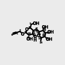 C#CCO[C@@H]1OC(CO)[C@@H](S[C@@H]2OC(C)[C@H](O)C(O)[C@@H]2O)C(O)[C@@H]1O